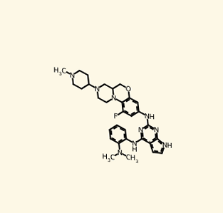 CN1CCC(N2CCN3c4c(F)cc(Nc5nc(Nc6ccccc6N(C)C)c6cc[nH]c6n5)cc4OCC3C2)CC1